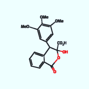 COc1cc(C2c3ccccc3C(=O)OC2(O)C(=O)O)cc(OC)c1OC